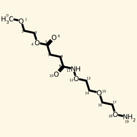 COCCOC(=O)CCC(=O)NOCCOCCON